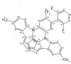 Cc1ccc2c(c1)c1ccccc1n2-c1cc(-c2c(F)cccc2F)c(C(F)(F)F)cc1-n1c2ccccc2c2cc(C)ccc21